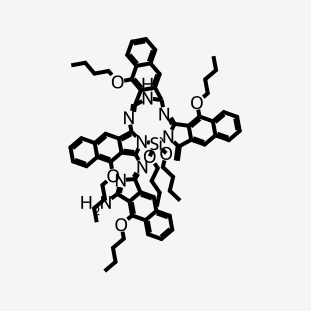 C=c1c2cc3ccccc3c(OCCCC)c2/c2n1[Si](OCCCC)(OCCCC)n1c(c3cc4ccccc4c(OCCCC)c3c1/N=C1\N=C(N)c3c1cc1ccccc1c3OCCCC)/N=C1\NC(/N=2)c2cc3ccccc3c(OCCCC)c21